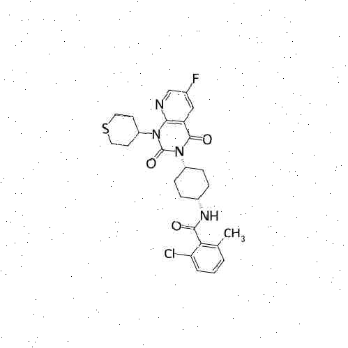 Cc1cccc(Cl)c1C(=O)N[C@H]1CC[C@@H](n2c(=O)c3cc(F)cnc3n(C3CCSCC3)c2=O)CC1